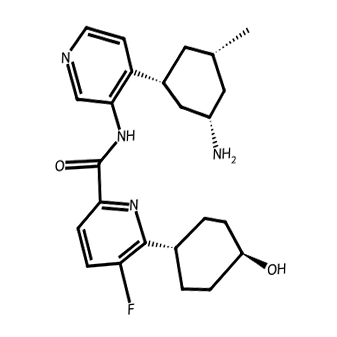 C[C@@H]1C[C@H](N)C[C@H](c2ccncc2NC(=O)c2ccc(F)c([C@H]3CC[C@H](O)CC3)n2)C1